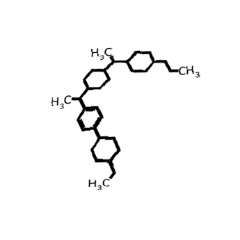 CCCC1CCC(C(C)C2CCC(C(C)c3ccc(C4CCC(CC)CC4)cc3)CC2)CC1